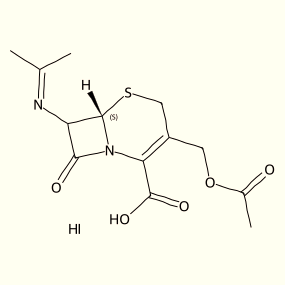 CC(=O)OCC1=C(C(=O)O)N2C(=O)C(N=C(C)C)[C@@H]2SC1.I